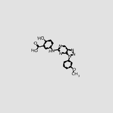 COc1cccc(-n2nnc3cnc(Nc4ccc(O)c(C(=O)O)c4)nc32)c1